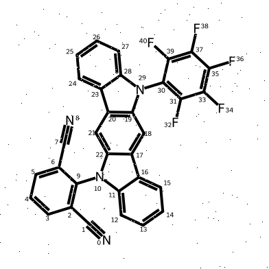 N#Cc1cccc(C#N)c1-n1c2ccccc2c2cc3c(cc21)c1ccccc1n3-c1c(F)c(F)c(F)c(F)c1F